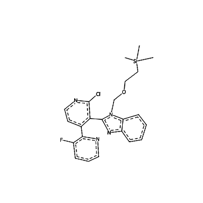 C[Si](C)(C)CCOCn1c(-c2c(-c3ncccc3F)ccnc2Cl)nc2ccccc21